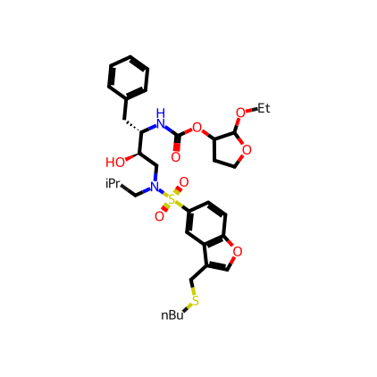 CCCCSCc1coc2ccc(S(=O)(=O)N(CC(C)C)C[C@@H](O)[C@H](Cc3ccccc3)NC(=O)OC3CCOC3OCC)cc12